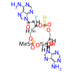 CS[P@]1(=O)OC[C@H]2O[C@@H](n3cnc4c(N)ncnc43)[C@H](F)[C@@H]2O[P@](=O)(S)OC[C@H]2O[C@@H](n3cnc4c(N)ncnc43)[C@H](O1)[C@@H]2O